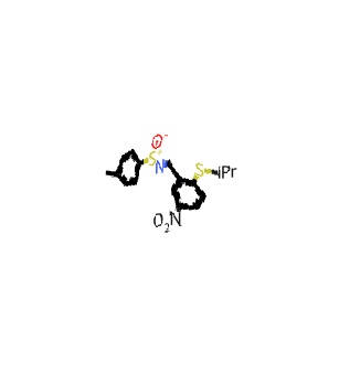 Cc1ccc([S@+]([O-])/N=C/c2cc([N+](=O)[O-])ccc2SC(C)C)cc1